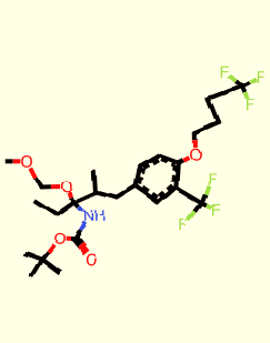 CCC(NC(=O)OC(C)(C)C)(OCOC)C(C)Cc1ccc(OCCCC(F)(F)F)c(C(F)(F)F)c1